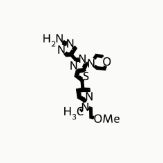 COCCN(C)c1ccc(-c2cc3nc(-c4cnc(N)nc4)nc(N4CCOCC4)c3s2)cn1